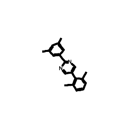 Cc1cc(C)cc(-c2ncc(-c3c(C)cccc3C)cn2)c1